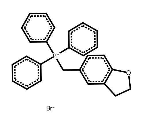 [Br-].c1ccc([P+](Cc2ccc3c(c2)CCO3)(c2ccccc2)c2ccccc2)cc1